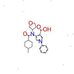 CC1CCC(C(=O)N(c2cn(-c3ccccc3)cc2C(=O)O)C2CCOC2)CC1